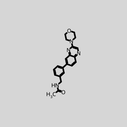 CC(=O)NCc1cccc(-c2ccc3ncc(N4CCOCC4)nc3c2)c1